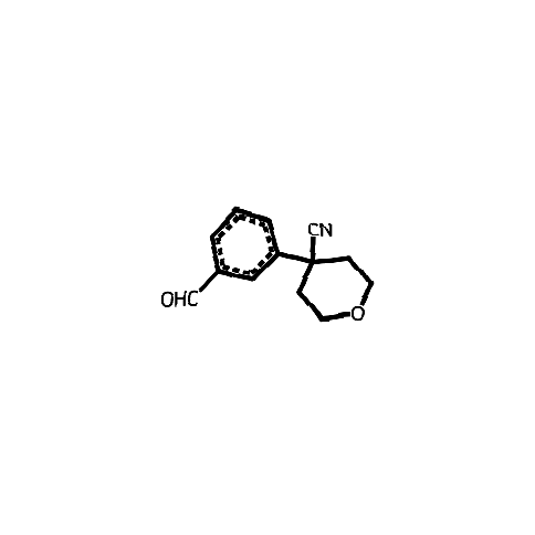 N#CC1(c2cccc(C=O)c2)CCOCC1